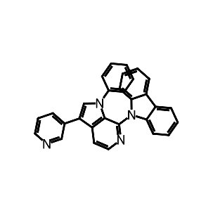 c1ccc(-n2cc(-c3cccnc3)c3ccnc(-n4c5ccccc5c5ccccc54)c32)cc1